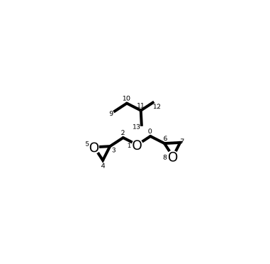 C(OCC1CO1)C1CO1.CCC(C)C